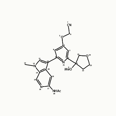 COC1(c2cc(OCC#N)cc(-c3cn(C)c4cnc(NC(C)=O)cc34)n2)CCOC1